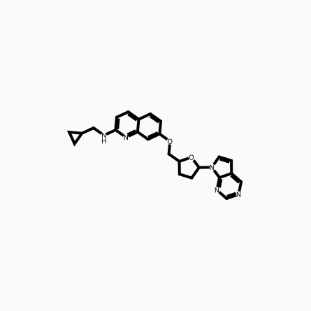 c1ncc2ccn(C3CCC(COc4ccc5ccc(NCC6CC6)nc5c4)O3)c2n1